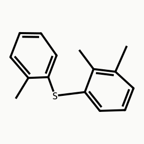 Cc1ccccc1Sc1cccc(C)c1C